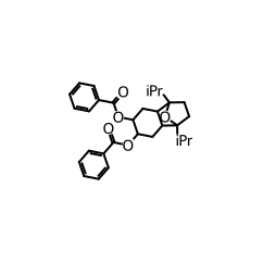 CC(C)C12CCC(C(C)C)(O1)C1CC(OC(=O)c3ccccc3)C(OC(=O)c3ccccc3)CC12